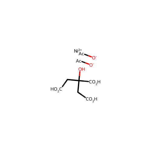 CC(=O)[O-].CC(=O)[O-].O=C(O)CC(O)(CC(=O)O)C(=O)O.[Ni+2]